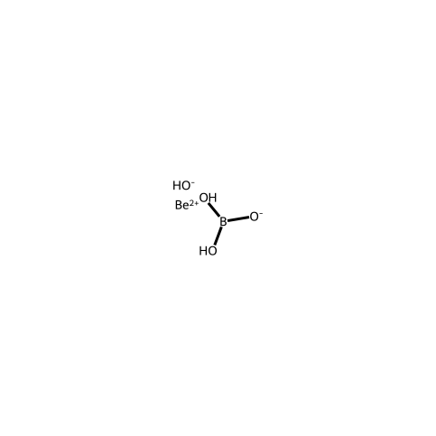 [Be+2].[O-]B(O)O.[OH-]